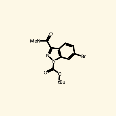 CNC(=O)c1nn(C(=O)OC(C)(C)C)c2cc(Br)ccc12